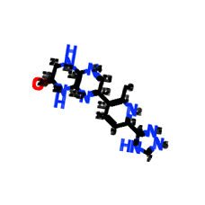 Cc1nc(-c2nnc[nH]2)ccc1-c1cnc2c(n1)NC(=O)CN2